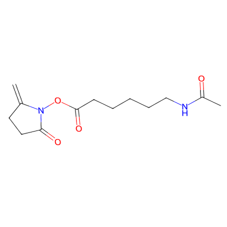 C=C1CCC(=O)N1OC(=O)CCCCCNC(C)=O